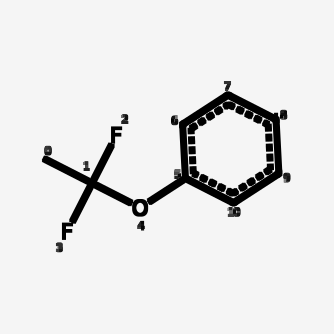 CC(F)(F)Oc1cc[c]cc1